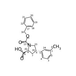 Cc1cccc([C@@H]2C[C@@H](C(=O)O)N(C(=O)OCc3ccccc3)C2)c1